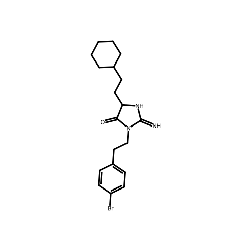 N=C1NC(CCC2CCCCC2)C(=O)N1CCc1ccc(Br)cc1